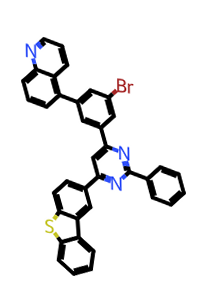 Brc1cc(-c2cc(-c3ccc4sc5ccccc5c4c3)nc(-c3ccccc3)n2)cc(-c2cccc3ncccc23)c1